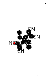 N#Cc1ccc2c(c1)c1cc(C#N)ccc1n2-c1ccc2c(-c3cccc(-c4ccccn4)c3)c3cc(-n4c5ccc(C#N)cc5c5cc(C#N)ccc54)ccc3c(-c3cccc(-c4ccccn4)c3)c2c1